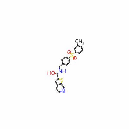 Cc1cccc(S(=O)(=O)c2ccc(CNC(O)c3cc4ccncc4s3)cc2)c1